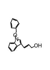 OCC=Cc1cn(OCc2ccccc2)c2ccccc12